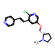 CN1CCC[C@H]1COc1cnc(Cl)c(/C=C/c2ccncc2)c1